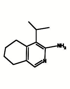 CC(C)c1c(N)ncc2c1CCCC2